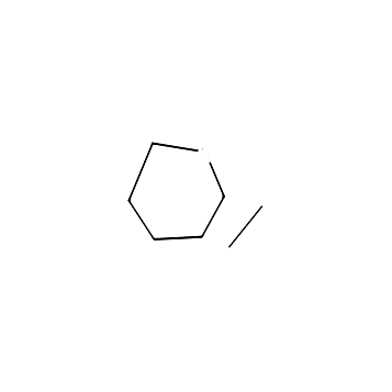 C1CCSCC1.CC